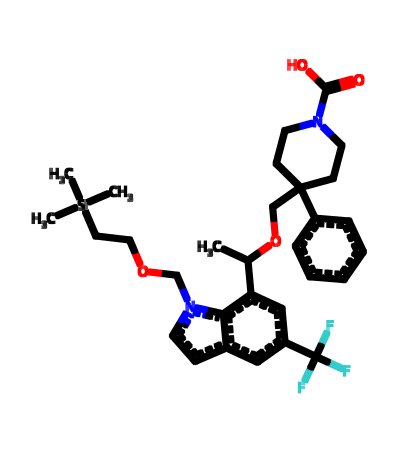 CC(OCC1(c2ccccc2)CCN(C(=O)O)CC1)c1cc(C(F)(F)F)cc2ccn(COCC[Si](C)(C)C)c12